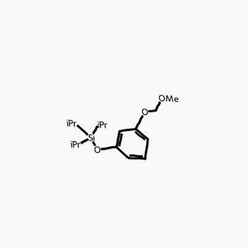 COCOc1cc[c]c(O[Si](C(C)C)(C(C)C)C(C)C)c1